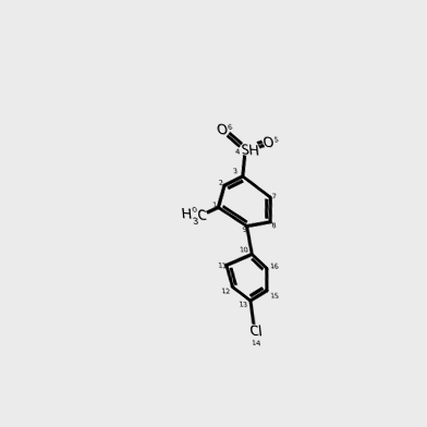 Cc1cc([SH](=O)=O)ccc1-c1ccc(Cl)cc1